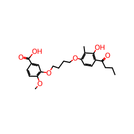 CCCC(=O)c1ccc(OCCCCOc2cc(C(=O)O)ccc2OC)c(C)c1O